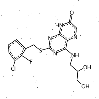 O=c1cnc2c(NCC(O)CO)nc(SCc3cccc(Cl)c3F)nc2[nH]1